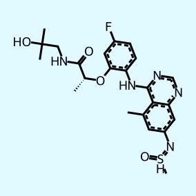 Cc1cc(/N=[SH](/C)=O)cc2ncnc(Nc3ccc(F)cc3O[C@H](C)C(=O)NCC(C)(C)O)c12